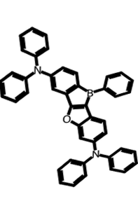 c1ccc(B2c3ccc(N(c4ccccc4)c4ccccc4)cc3-c3oc4cc(N(c5ccccc5)c5ccccc5)ccc4c32)cc1